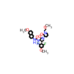 COCCn1cccc(N2C[C@@H](c3c(F)cc(OC)cc3F)C(NC(=O)Nc3ccc4cc(OC)ccc4c3)C2=O)c1=O